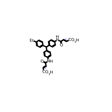 CCc1ccc(C(c2ccc(NC(=O)/C=C/C(=O)O)cc2)c2ccc(NC(=O)/C=C/C(=O)O)cc2)cc1